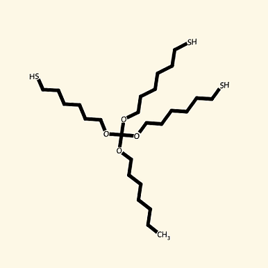 CCCCCCCOC(OCCCCCCS)(OCCCCCCS)OCCCCCCS